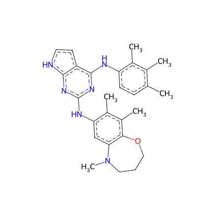 Cc1ccc(Nc2nc(Nc3cc4c(c(C)c3C)OCCCN4C)nc3[nH]ccc23)c(C)c1C